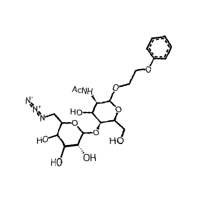 CC(=O)N[C@H]1C(OCCOc2ccccc2)OC(CO)[C@@H](OC2OC(CN=[N+]=[N-])C(O)C(O)[C@H]2O)C1O